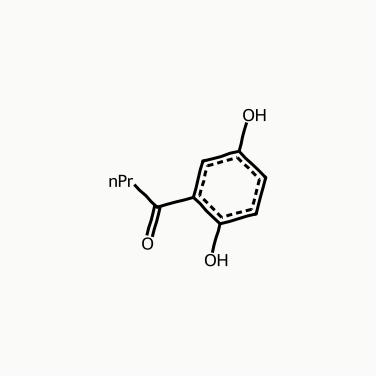 CCCC(=O)c1cc(O)ccc1O